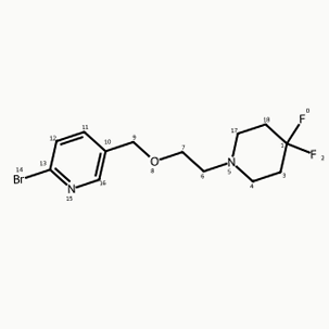 FC1(F)CCN(CCOCc2ccc(Br)nc2)CC1